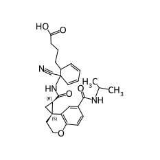 CC(C)NC(=O)c1ccc2c(c1)[C@]1(CCO2)C[C@H]1C(=O)NC1(C#N)C=CC=CC1CCCC(=O)O